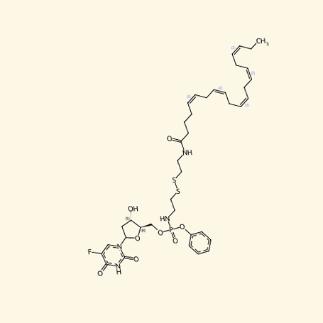 CC/C=C\C/C=C\C/C=C\C/C=C\C/C=C\CCCC(=O)NCCSSCCNP(=O)(OC[C@H]1OC(n2cc(F)c(=O)[nH]c2=O)C[C@@H]1O)Oc1ccccc1